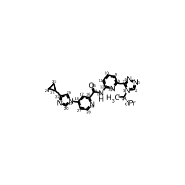 CC(C)[C@H](C)n1cnnc1-c1cccc(NC(=O)c2cc(-n3cnc(C4CC4)c3)ccn2)n1